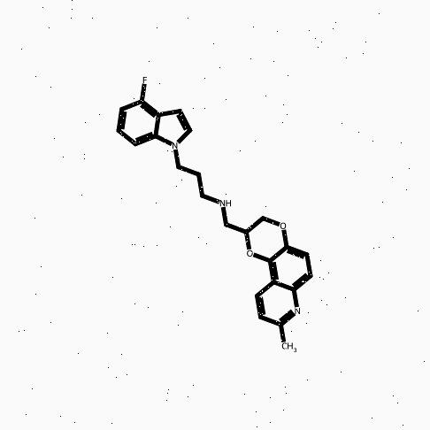 Cc1ccc2c3c(ccc2n1)OCC(CNCCCn1ccc2c(F)cccc21)O3